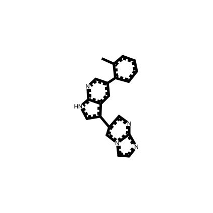 Cc1ccccc1-c1cnc2[nH]cc(-c3cnc4nccn4c3)c2c1